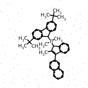 CC1=C(c2ccc3ccccc3c2)c2ccccc2[CH]1[Ti]([CH3])([CH3])[CH]1c2ccc(C(C)(C)C)cc2-c2ccc(C(C)(C)C)cc21